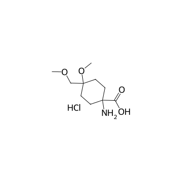 COCC1(OC)CCC(N)(C(=O)O)CC1.Cl